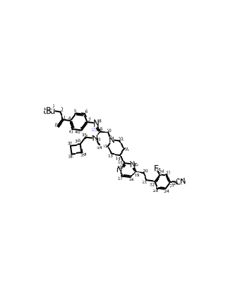 C=C(CC(C)(C)C)c1ccc(/N=C(/CN2CCC(c3nccc(CCc4ccc(C#N)cc4F)n3)CC2)N(C)CC2CCC2)cc1